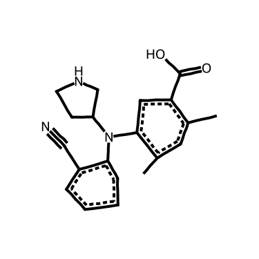 Cc1cc(C)c(N(c2ccccc2C#N)C2CCNC2)cc1C(=O)O